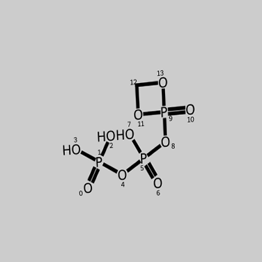 O=P(O)(O)OP(=O)(O)OP1(=O)OCO1